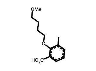 COCCCCOc1c(C)cccc1C(=O)O